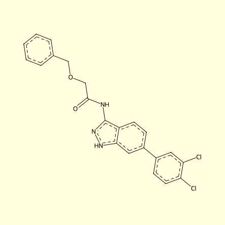 O=C(COCc1ccccc1)Nc1n[nH]c2cc(-c3ccc(Cl)c(Cl)c3)ccc12